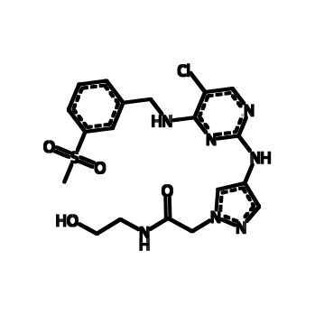 CS(=O)(=O)c1cccc(CNc2nc(Nc3cnn(CC(=O)NCCO)c3)ncc2Cl)c1